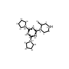 IC1CNCCN1c1nc(N2CCCC2)nc(N2CCCC2)n1